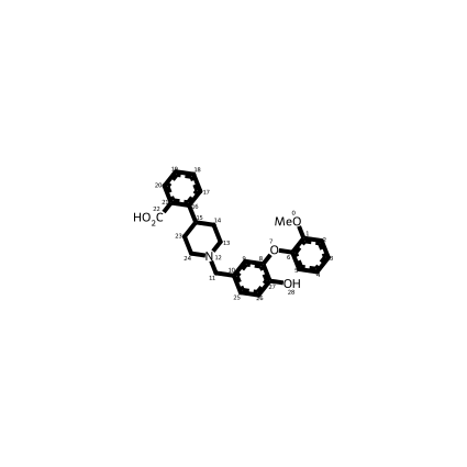 COc1ccccc1Oc1cc(CN2CCC(c3ccccc3C(=O)O)CC2)ccc1O